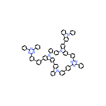 c1ccc(-c2nc(-c3ccccc3)nc(-c3cccc(-c4cccc(-c5ccc6c(c5)c5cc(-c7ccc8c(c7)c7ccccc7n8-c7cccc(-c8ccc(-c9nc(-c%10ccccc%10)nc(-c%10cccc(-c%11ccc%12c(c%11)c%11cc(-c%13ccc%14c(c%13)c%13ccccc%13n%14-c%13ccccc%13)ccc%11n%12-c%11ccccc%11)c%10)n9)cc8)c7)ccc5n6-c5ccccc5)c4)c3)n2)cc1